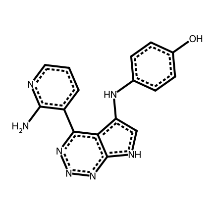 Nc1ncccc1-c1nnnc2[nH]cc(Nc3ccc(O)cc3)c12